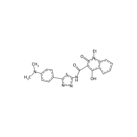 CCn1c(=O)c(C(=O)Nc2nnc(-c3ccc(N(C)C)cc3)s2)c(O)c2ccccc21